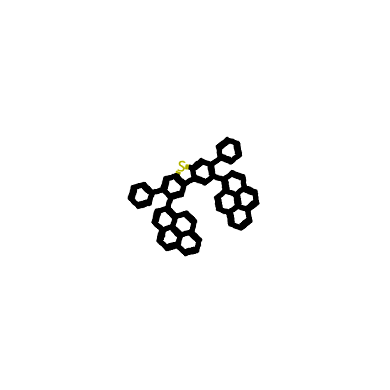 c1ccc(-c2cc3sc4cc(-c5ccccc5)c(-c5ccc6ccc7cccc8ccc5c6c78)cc4c3cc2-c2ccc3ccc4cccc5ccc2c3c45)cc1